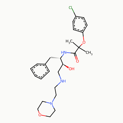 CC(C)(Oc1ccc(Cl)cc1)C(=O)N[C@@H](Cc1ccccc1)[C@@H](O)CNCCN1CCOCC1